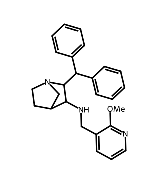 COc1ncccc1CNC1C2CCN(C2)C1C(c1ccccc1)c1ccccc1